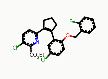 CCOC(=O)c1nc(C2=C(c3cc(Cl)ccc3OCc3ccccc3F)CCC2)ccc1Cl